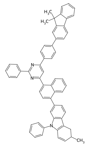 CC1C=Cc2c(c3ccc(-c4ccc(-c5cc(-c6ccc(-c7ccc8c(c7)C(C)(C)c7ccccc7-8)cc6)nc(-c6ccccc6)n5)c5ccccc45)cc3n2-c2ccccc2)C1